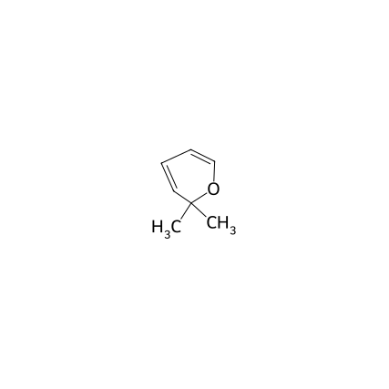 CC1(C)C=CC=CO1